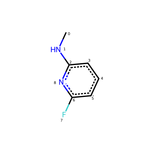 CNc1cc[c]c(F)n1